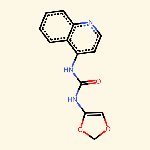 O=C(NC1=COCO1)Nc1ccnc2ccccc12